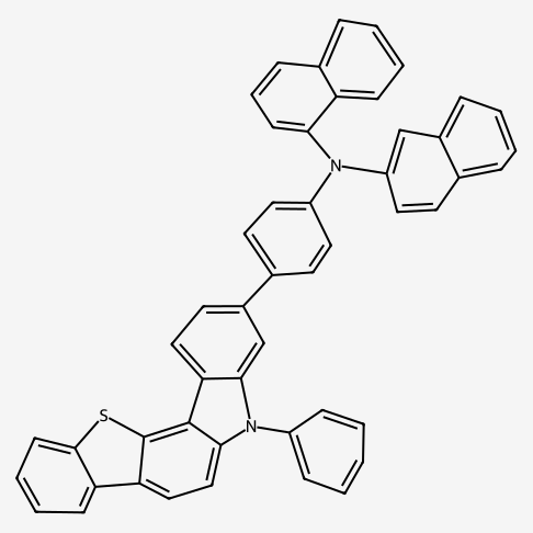 c1ccc(-n2c3cc(-c4ccc(N(c5ccc6ccccc6c5)c5cccc6ccccc56)cc4)ccc3c3c4sc5ccccc5c4ccc32)cc1